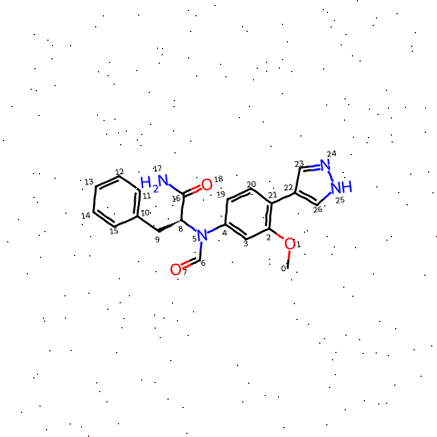 COc1cc(N(C=O)[C@@H](Cc2ccccc2)C(N)=O)ccc1-c1cn[nH]c1